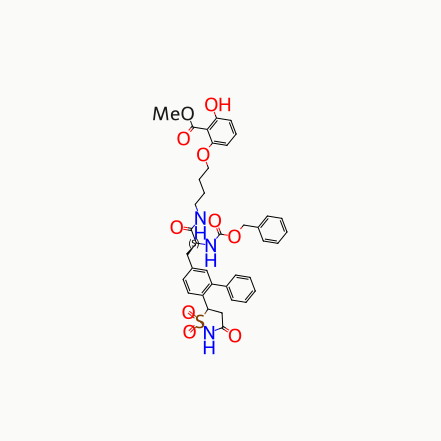 COC(=O)c1c(O)cccc1OCCCCNC(=O)[C@H](Cc1ccc(C2CC(=O)NS2(=O)=O)c(-c2ccccc2)c1)NC(=O)OCc1ccccc1